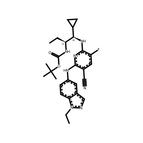 CC[C@H](NC(=O)OC(C)(C)C)[C@H](Nc1nc(Nc2ccc3c(cnn3CC)c2)c(C#N)cc1F)C1CC1